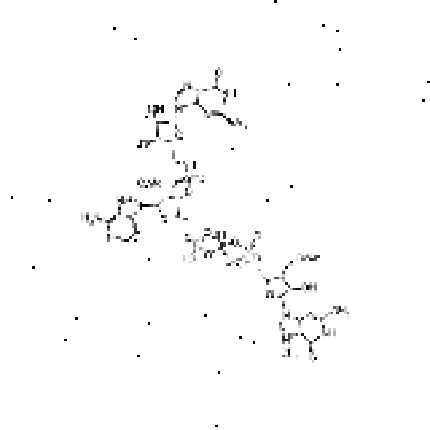 COC[C@@H]1[C@@H](COP(=O)(O)OP(=O)(O)OP(=O)(O)OCC2O[C@@H](n3cnc4c(N)ncnc43)[C@H](OC)[C@@H]2OS(=O)(=O)NC[C@H]2O[C@@H](n3cnc4c(=O)[nH]c(N)nc43)[C@H](O)[C@@H]2O)OC(n2c[n+](C)c3c(=O)[nH]c(N)nc32)[C@@H]1O